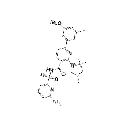 CC(C)COc1cc(F)cc(-c2ccc(C(=O)NS(=O)(=O)c3cccc(N)n3)c(N3CC(C)CC3(C)C)n2)c1